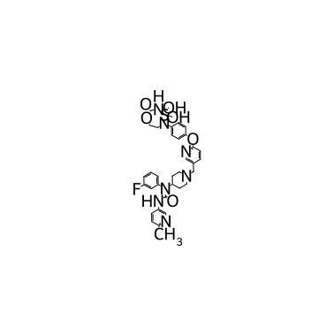 Cc1ccc(NC(=O)N(c2cccc(F)c2)C2CCN(Cc3ccc(Oc4ccc(N5CCOC(=O)NS5(O)O)cc4)nc3)CC2)cn1